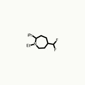 CCN1CCC(C(F)F)CCC1C(C)C